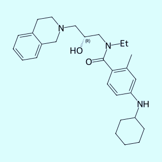 CCN(C[C@H](O)CN1CCc2ccccc2C1)C(=O)c1ccc(NC2CCCCC2)cc1C